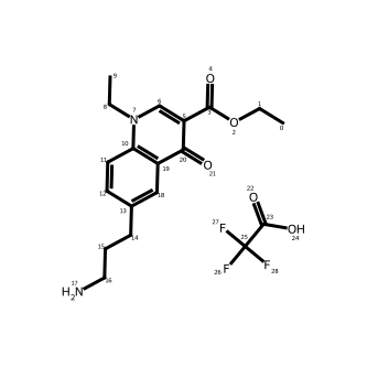 CCOC(=O)c1cn(CC)c2ccc(CCCN)cc2c1=O.O=C(O)C(F)(F)F